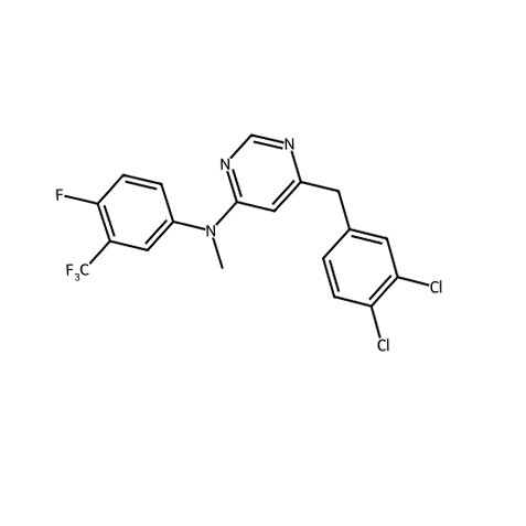 CN(c1ccc(F)c(C(F)(F)F)c1)c1cc(Cc2ccc(Cl)c(Cl)c2)ncn1